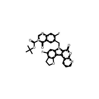 CC(C)(C)OC(=O)n1cnc2cc(F)c(Cn3c4cc(F)c5c(c4c4c6cccnc6oc(=O)c43)OCC5)cc2c1=O